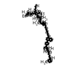 CCNC(=O)CCC(CCC(=O)NC(C)(C)COCC)(CCC(=O)NC(C)(C)COC(C)(C)Cc1cn(CCOCCOCCOc2ccc(-c3ccc([C@H](CC(=O)O)NC(=O)CNC(=O)CCCNc4cc(C)ccn4)cc3)c3ccccc23)nn1)NC(=O)CCCC(C)=O